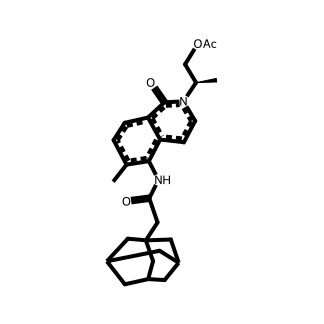 CC(=O)OC[C@@H](C)n1ccc2c(NC(=O)CC34CC5CC(CC(C5)C3)C4)c(C)ccc2c1=O